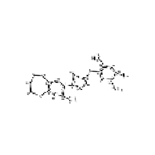 Cc1cc(Cc2csc(-c3cc4c(cc3C)CCCCC4)n2)c(C)cc1I